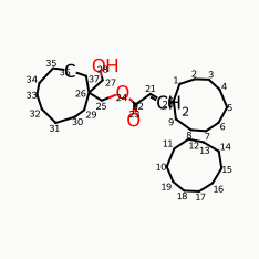 C1CCCCCCCCC1.C1CCCCCCCCC1.C=CC(=O)OCC1(CO)CCCCCCCCC1